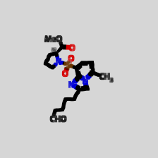 COC(=O)[C@@H]1CCCN1S(=O)(=O)c1ccc(C)n2cc(CCCCC=O)nc12